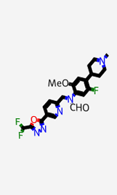 COc1cc(C2CCN(C)CC2)c(F)cc1N(C=O)Cc1ccc(-c2nnc(C(F)F)o2)cn1